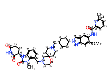 COc1cc2nn([C@H]3CC[C@H](CN4CCC5(CC4)CN(Cc4cccc6c4n(C)c(=O)n6C4CCC(=O)NC4=O)CCO5)CC3)cc2cc1NC(=O)c1cccc(C(F)(F)F)n1